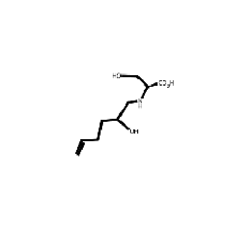 C=CCCC(O)CN[C@@H](CO)C(=O)O